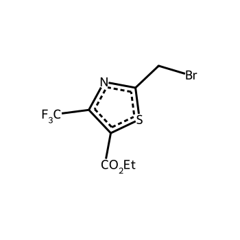 CCOC(=O)c1sc(CBr)nc1C(F)(F)F